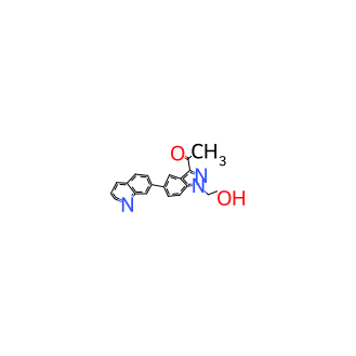 CC(=O)c1nn(CCO)c2ccc(-c3ccc4cccnc4c3)cc12